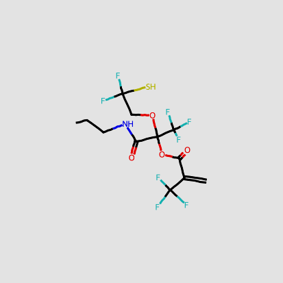 C=C(C(=O)OC(OCC(F)(F)S)(C(=O)NCCC)C(F)(F)F)C(F)(F)F